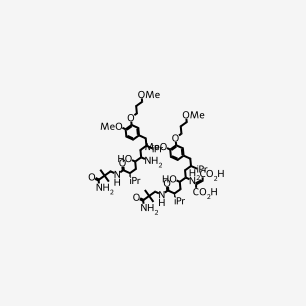 COCCCOc1cc(CC(CC(N)C(O)C[C@H](C(=O)NCC(C)(C)C(N)=O)C(C)C)C(C)C)ccc1OC.COCCCOc1cc(CC(CC(N)C(O)C[C@H](C(=O)NCC(C)(C)C(N)=O)C(C)C)C(C)C)ccc1OC.O=C(O)/C=C/C(=O)O